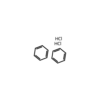 Cl.Cl.c1ccccc1.c1ccccc1